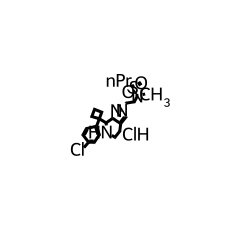 CCCS(=O)(=O)N(C)CCn1cc2c(n1)C(C1(c3ccc(Cl)cc3)CCC1)NCC2.Cl